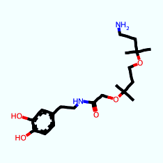 CC(C)(CCN)OCCC(C)(C)OCC(=O)NCCc1ccc(O)c(O)c1